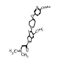 COc1ccc(OC2CCN(c3nc4c(cc3C)CN(C(=O)CN(C)C)C4)CC2)cn1